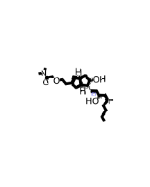 CCCC[C@H](C)C[C@H](O)/C=C/[C@@H]1[C@H]2CC(CCOCC(=O)N(C)C)=C[C@H]2C[C@H]1O